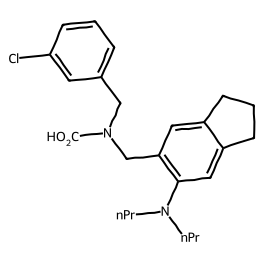 CCCN(CCC)c1cc2c(cc1CN(Cc1cccc(Cl)c1)C(=O)O)CCC2